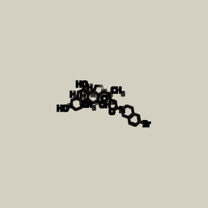 C[C@H](CCC(=O)N1CCc2cc(Br)ccc2C1)[C@H]1CC[C@H]2[C@@H]3[C@H](O)C[C@@H]4C[C@H](O)CC[C@]4(C)[C@H]3C[C@H](O)[C@]12C